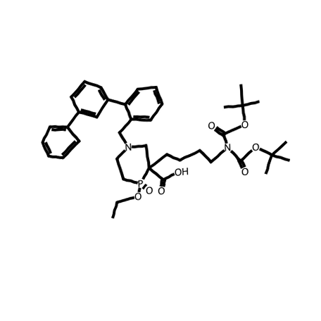 CCOP1(=O)CCN(Cc2ccccc2-c2cccc(-c3ccccc3)c2)CC1(CCCCN(C(=O)OC(C)(C)C)C(=O)OC(C)(C)C)C(=O)O